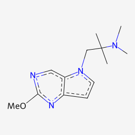 COc1ncc2c(ccn2CC(C)(C)N(C)C)n1